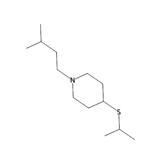 CC(C)CCN1CCC(SC(C)C)CC1